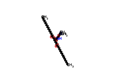 CCCCCCCCCCCCCCCCCCCCCC(=O)OCCCC(CCCOC(=O)CCCCCCCCCCCCCCCCCCCCC)OC(=O)NCCOCCN(C)C